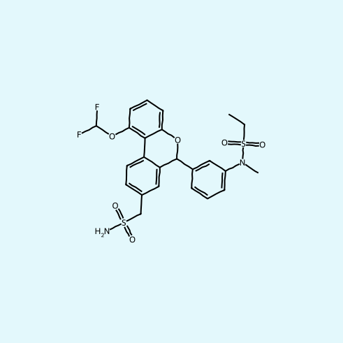 CCS(=O)(=O)N(C)c1cccc(C2Oc3cccc(OC(F)F)c3-c3ccc(CS(N)(=O)=O)cc32)c1